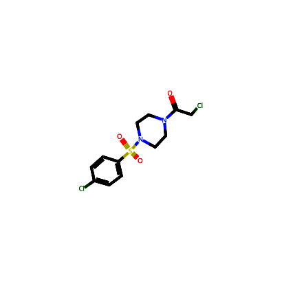 O=C(CCl)N1CCN(S(=O)(=O)c2ccc(Cl)cc2)CC1